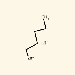 CCCC[CH2][Zn+].[Cl-]